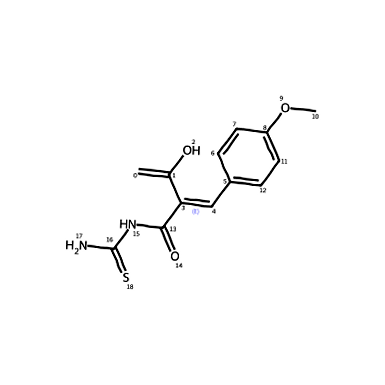 C=C(O)/C(=C\c1ccc(OC)cc1)C(=O)NC(N)=S